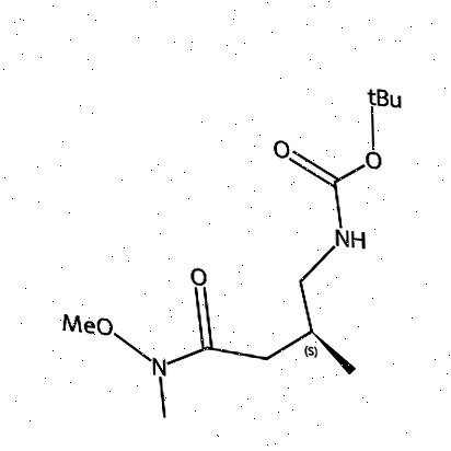 CON(C)C(=O)C[C@H](C)CNC(=O)OC(C)(C)C